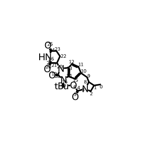 CC1CN(C(=O)OC(C)(C)C)C1Cc1ccc2c(c1)n(C)c(=O)n2C1CCC(=O)NC1=O